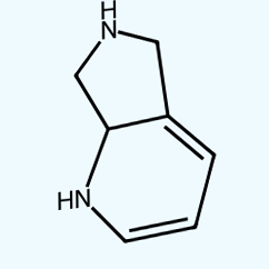 C1=CNC2CNCC2=C1